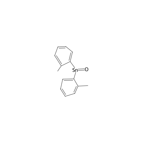 Cc1cccc[c]1[Sn](=[O])[c]1ccccc1C